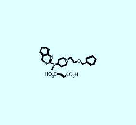 CN(C1=Nc2ccccc2CS1)C1CCN(CCOCc2ccccc2)CC1.O=C(O)C=CC(=O)O